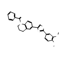 COc1ccc(-c2nc(-c3ccc4c(c3)CCCN4C(=O)c3ccccc3)cs2)cc1OC